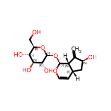 C=C1[C@H]2[C@H](O[C@@H]3O[C@H](CO)[C@@H](O)[C@H](O)[C@H]3O)OC=C[C@H]2C[C@@H]1O